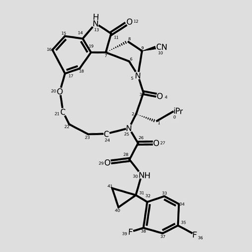 CC(C)C[C@H]1C(=O)N2C[C@]3(C[C@H]2C#N)C(=O)Nc2ccc(cc23)OCCCCN1C(=O)C(=O)NC1(c2ccc(F)cc2F)CC1